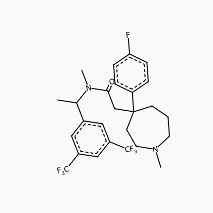 CC(c1cc(C(F)(F)F)cc(C(F)(F)F)c1)N(C)C(=O)CC1(c2ccc(F)cc2)CCCN(C)CC1